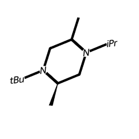 CC(C)N1C[C@@H](C)N(C(C)(C)C)CC1C